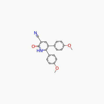 COc1ccc(-c2cc(C#N)c(=O)[nH]c2-c2ccc(OC)cc2)cc1